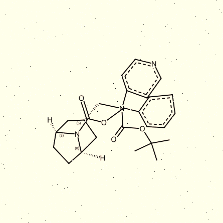 CC(C)(C)OC(=O)N(C[C@@H]1C[C@H]2CC[C@@H](C1)N2C(=O)OCc1ccccc1)c1ccncc1